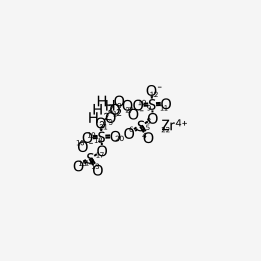 O.O.O.O.O=S(=O)([O-])OS(=O)(=O)[O-].O=S(=O)([O-])OS(=O)(=O)[O-].[Zr+4]